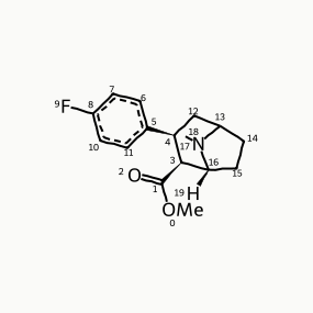 COC(=O)[C@H]1[C@@H](c2ccc(F)cc2)CC2CC[C@H]1N2C